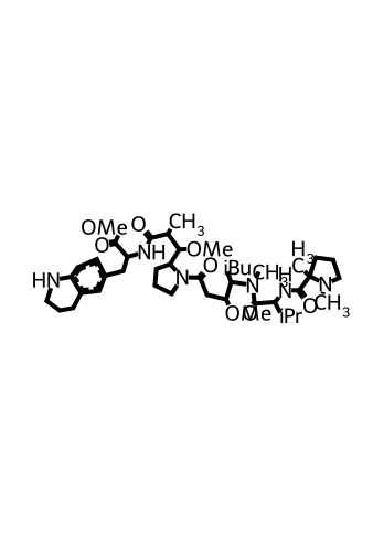 CCC(C)C(C(CC(=O)N1CCCC1C(OC)C(C)C(=O)NC(Cc1ccc2c(c1)CCCN2)C(=O)OC)OC)N(C)C(=O)C(NC(=O)C1(C)CCCN1C)C(C)C